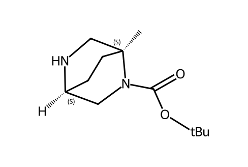 CC(C)(C)OC(=O)N1C[C@@H]2CC[C@@]1(C)CN2